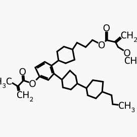 C=C(C)C(=O)Oc1ccc(C2CCC(CCCOC(=O)C(=C)COC)CC2)c(C2CCC(C3CCC(CCC)CC3)CC2)c1